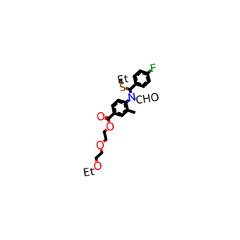 CCOCCOCCOC(=O)c1ccc(N(C=O)C(SCC)c2ccc(F)cc2)c(C)c1